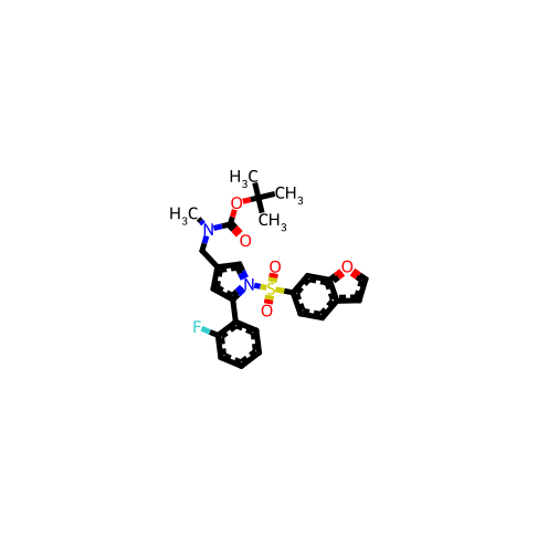 CN(Cc1cc(-c2ccccc2F)n(S(=O)(=O)c2ccc3ccoc3c2)c1)C(=O)OC(C)(C)C